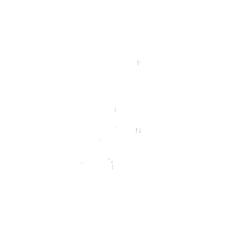 CC(C)C(O)c1ccc(N2CC[C@H](NC(=O)O)C2=O)c(F)c1